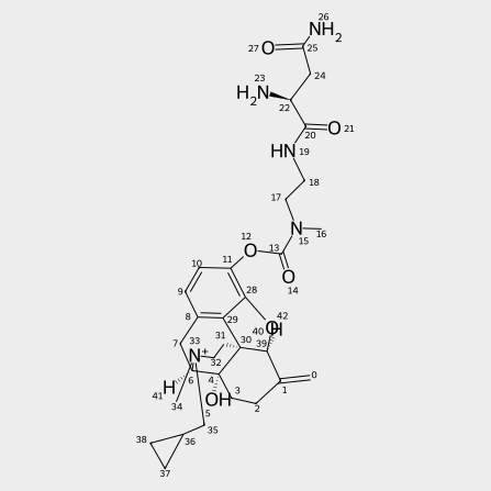 C=C1CC[C@@]2(O)[C@H]3Cc4ccc(OC(=O)N(C)CCNC(=O)[C@@H](N)CC(N)=O)c5c4[C@@]2(CC[N+]3(C)CC2CC2)[C@H]1O5